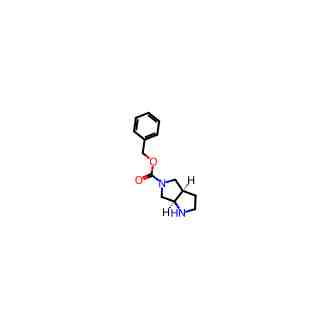 O=C(OCc1ccccc1)N1C[C@H]2CCN[C@H]2C1